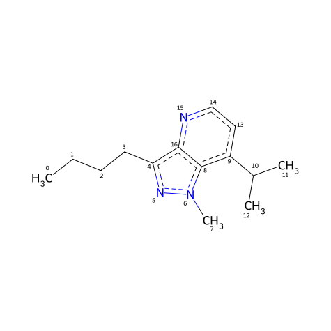 CCCCc1nn(C)c2c(C(C)C)ccnc12